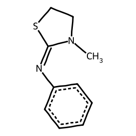 CN1CCS/C1=N/c1ccccc1